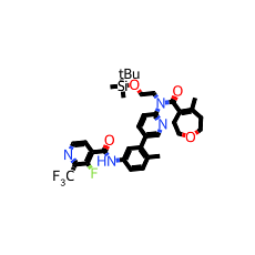 CC1=C(C(=O)N(CCO[Si](C)(C)C(C)(C)C)c2ccc(-c3cc(NC(=O)c4ccnc(C(F)(F)F)c4F)ccc3C)cn2)CCOCC1